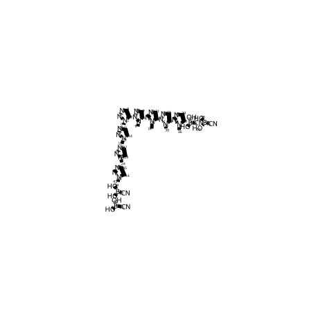 Cn1ccnn1.Cn1ccnn1.Cn1ccnn1.Cn1ccnn1.Cn1ccnn1.Cn1ccnn1.Cn1ccnn1.Cn1ccnn1.N#CB(O)O.N#CB(O)O.N#CB(O)O.N#CB(O)O